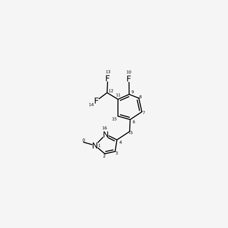 Cn1ccc([CH]c2ccc(F)c(C(F)F)c2)n1